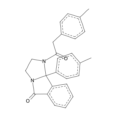 Cc1ccc(CC(=O)N2CCN3C(=O)c4ccccc4C23c2ccc(C)cc2)cc1